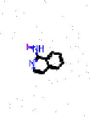 INc1nccc2ccccc12